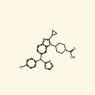 O=C(O)N1CCC(n2c(C3CC3)nc3ccc(C(c4ccc(Cl)cc4)c4nccs4)cc32)CC1